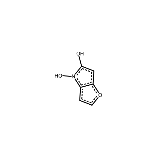 Oc1cc2occc2n1O